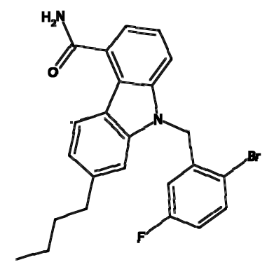 CCCCc1c[c]c2c3c(C(N)=O)cccc3n(Cc3cc(F)ccc3Br)c2c1